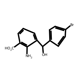 Nc1c(C(=O)O)cccc1C(O)c1ccc(Br)cc1